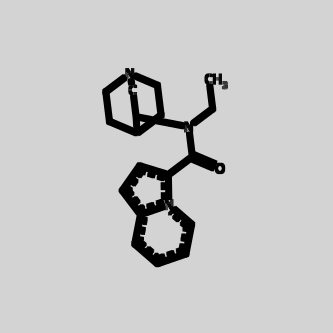 CCN(C(=O)c1ccc2ccccn12)C1CN2CCC1CC2